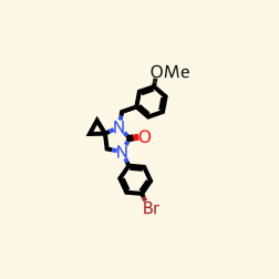 COc1cccc(CN2C(=O)N(c3ccc(Br)cc3)CC23CC3)c1